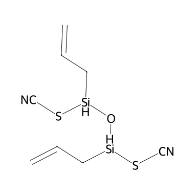 C=CC[SiH](O[SiH](CC=C)SC#N)SC#N